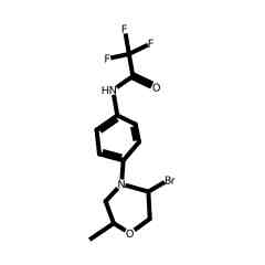 CC1CN(c2ccc(NC(=O)C(F)(F)F)cc2)C(Br)CO1